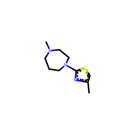 Cc1csc(N2CCCN(C)CC2)n1